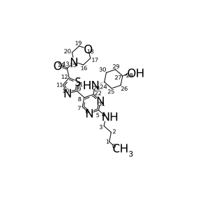 CCCCNc1ncc(-c2ncc(C(=O)N3CCOCC3)s2)c(N[C@H]2CC[C@H](O)CC2)n1